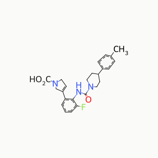 Cc1ccc(C2CCN(C(=O)Nc3c(F)cccc3C3=CCN(C(=O)O)C3)CC2)cc1